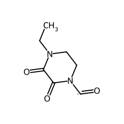 CCN1CCN([C]=O)C(=O)C1=O